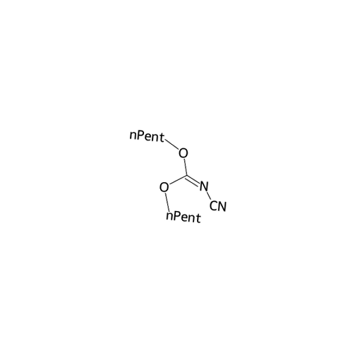 CCCCCOC(=NC#N)OCCCCC